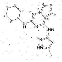 Cc1cc(Nc2nc(NC3CCCCC3)nn3cccc23)n[nH]1